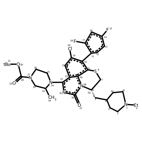 CCN1CCC(C[C@H]2CSc3c(-c4ccc(F)cc4F)c(Cl)cc4c(N5CCN(C(=O)OC(C)(C)C)CC5C)nc(=O)n2c34)CC1